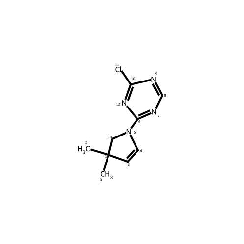 CC1(C)C=CN(c2ncnc(Cl)n2)C1